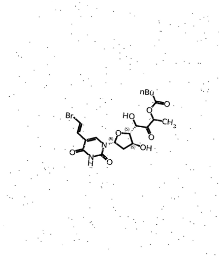 CCCCC(=O)OC(C)C(=O)C(O)[C@H]1O[C@@H](n2cc(C=CBr)c(=O)[nH]c2=O)C[C@@H]1O